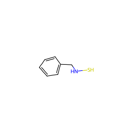 SNCc1ccccc1